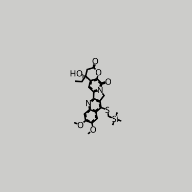 CC[C@@]1(O)CC(=O)Oc2c1cc1n(c2=O)Cc2c-1nc1cc(OC)c(OC)cc1c2SC[Si](C)(C)C